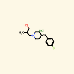 CC(CO)CN1CCC(Cc2ccc(F)cc2)CC1.Cl